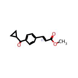 COC(=O)/C=C/c1ccc(C(=O)C2CC2)cc1